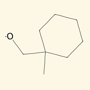 CC1(C[O])CCCCC1